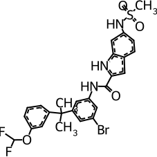 CC(C)(c1cc(Br)cc(NC(=O)c2cc3ccc(NS(C)(=O)=O)cc3[nH]2)c1)c1cccc(OC(F)F)c1